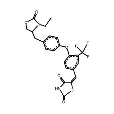 CCN1C(=O)OCC1Cc1ccc(Oc2ccc(C=C3SC(=O)NC3=O)cc2C(F)(F)F)cc1